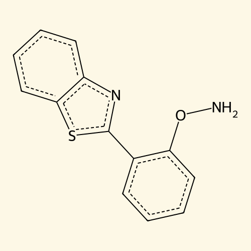 NOc1ccccc1-c1nc2ccccc2s1